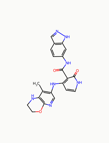 Cc1c(Nc2cc[nH]c(=O)c2C(=O)Nc2ccc3cn[nH]c3c2)cnc2c1NCCO2